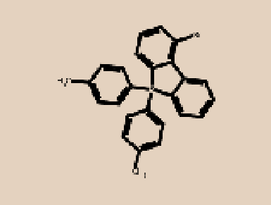 Cc1ccc(S2(c3ccc(C)cc3)c3ccccc3-c3c(Br)cccc32)cc1